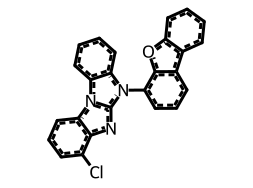 Clc1cccc2c1nc1n(-c3cccc4c3oc3ccccc34)c3ccccc3n21